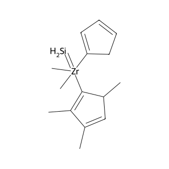 CC1=CC(C)[C]([Zr]([CH3])([CH3])(=[SiH2])[C]2=CC=CC2)=C1C